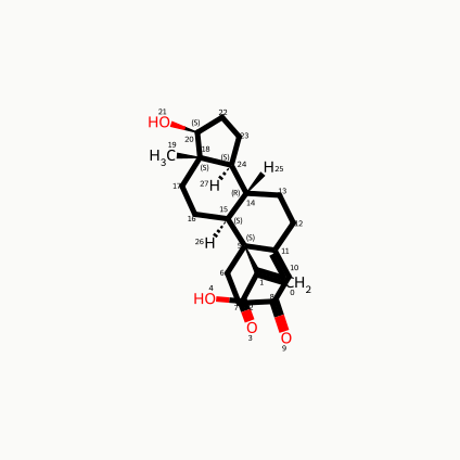 C=C(C(=O)O)[C@]12CCC(=O)C=C1CC[C@@H]1[C@@H]2CC[C@]2(C)[C@@H](O)CC[C@@H]12